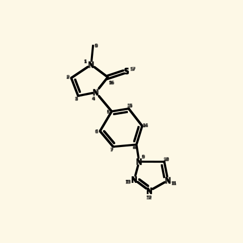 Cn1ccn(-c2ccc(-n3cnnn3)cc2)c1=S